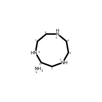 C1CNCCNCCN1.N